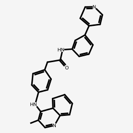 Cc1cnc2ccccc2c1Nc1ccc(CC(=O)Nc2cccc(-c3ccncc3)c2)cc1